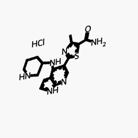 Cc1nc(-c2cnc3[nH]ccc3c2NC2CCCNC2)sc1C(N)=O.Cl